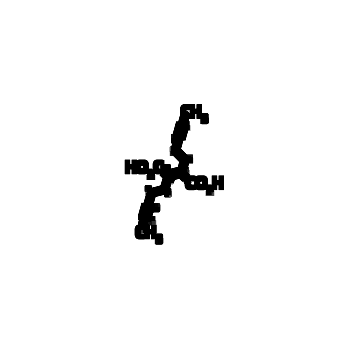 CC#CCCC(C(=O)O)=C(CCC#CC)C(=O)O